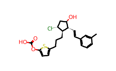 Cc1cccc(C=C[C@@H]2[C@@H](CCCc3ccc(OC(=O)O)s3)[C@H](Cl)C[C@H]2O)c1